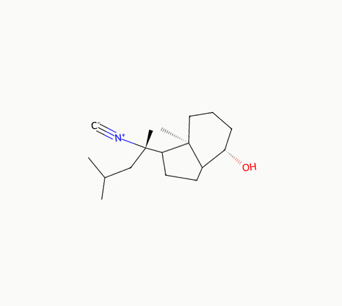 [C-]#[N+][C@@](C)(CC(C)C)C1CCC2[C@@H](O)CCC[C@@]21C